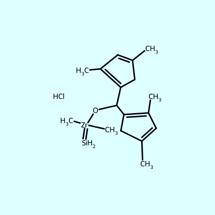 CC1=CC(C)=C(C([O][Zr]([CH3])([CH3])=[SiH2])C2=C(C)C=C(C)C2)C1.Cl